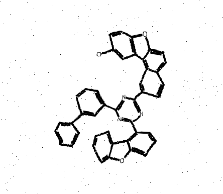 Clc1ccc2oc3ccc4ccc(-c5nc(-c6cccc(-c7ccccc7)c6)nc(-c6cccc7oc8ccccc8c67)n5)cc4c3c2c1